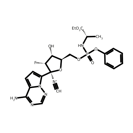 C#[N+][C@@]1(c2ccc3c(N)ncnn23)O[C@H](COP(=O)(N[C@@H](C)C(=O)OCC)Oc2ccccc2)[C@@H](O)[C@H]1F